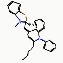 BC1(/C=C2/C=C(CCCC)N(c3ccccc3)c3ccccc32)Sc2ccccc2N1C